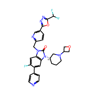 O=c1n(Cc2ccc(-c3nnc(C(F)F)o3)cn2)c2cc(F)c(-c3ccncc3)cc2n1[C@H]1CCCN(C2COC2)C1